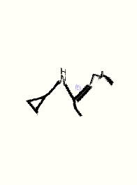 C/N=C(\C)NC1CC1